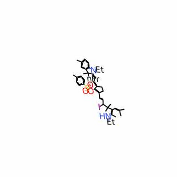 CCCC1(C)/C(=C\C=C2/CCC(/C=C/C(I)C(C)(C)/C(C=C(C)C)=C(/C)NCC)=C2OS(=O)(=O)c2ccc(C)cc2)N(CC)c2ccc(C)cc21